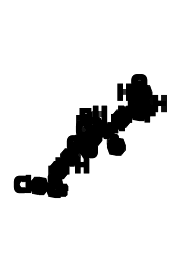 CC1(C)CCC(c2ccc(Cl)cc2)=C(CN2CCN(c3ccc(C(=O)NS(=O)(=O)c4ccc(N[C@H](CCN5CCN(Cc6ccc(F)c(NC7CCC(=O)NC7=O)c6)CC5)CSc5ccccc5)c(S(=O)(=O)C(F)(F)F)c4)cc3)CC2)C1